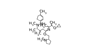 C=C(/N=C(\CC(=C)[C@H](C)N(C)NC1=CC=C(C)CC1)OCC1CCCN1C)C(=C)OC1CC1